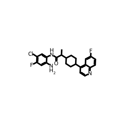 CC(C(=O)Nc1cc(Cl)c(F)cc1N)C1CCC(c2ccnc3ccc(F)cc23)CC1